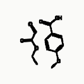 CCOC(=O)C=O.COc1ccc(C(=O)O)cc1